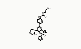 C[C@H]1COCCN1c1cc(C2(S(=O)(=O)c3nccs3)CC2)nc(-c2ccc(NC(=O)NCCO)cc2)n1